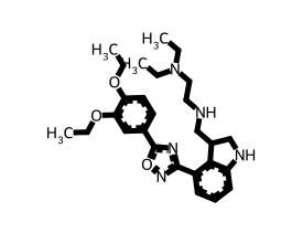 CCOc1ccc(-c2nc(-c3cccc4c3C(CNCCN(CC)CC)CN4)no2)cc1OCC